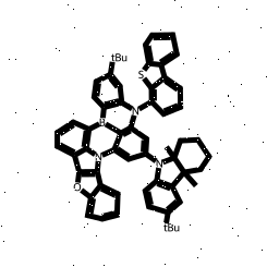 CC(C)(C)c1ccc2c(c1)N(c1cccc3c1sc1ccccc13)c1cc(N3c4ccc(C(C)(C)C)cc4C4(C)CCCCC34C)cc3c1B2c1cccc2c4oc5ccccc5c4n-3c12